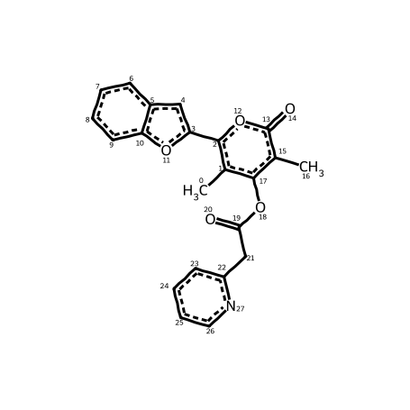 Cc1c(-c2cc3ccccc3o2)oc(=O)c(C)c1OC(=O)Cc1ccccn1